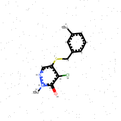 CC(C)(C)c1cccc(CSc2cnn(C(C)(C)C)c(=O)c2Cl)c1